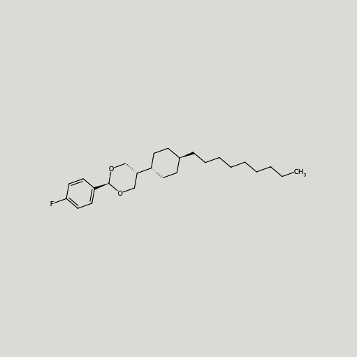 CCCCCCCCC[C@H]1CC[C@H]([C@H]2CO[C@H](c3ccc(F)cc3)OC2)CC1